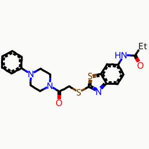 CCC(=O)Nc1ccc2nc(SCC(=O)N3CCN(c4ccccc4)CC3)sc2c1